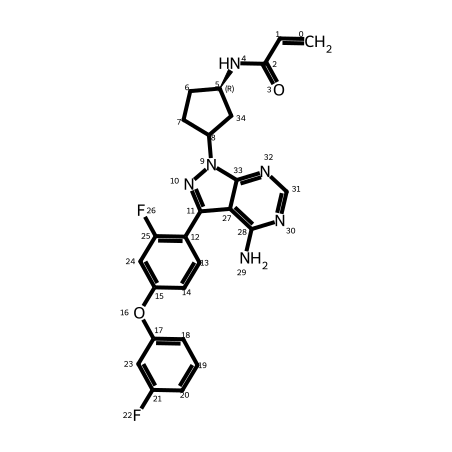 C=CC(=O)N[C@@H]1CCC(n2nc(-c3ccc(Oc4cccc(F)c4)cc3F)c3c(N)ncnc32)C1